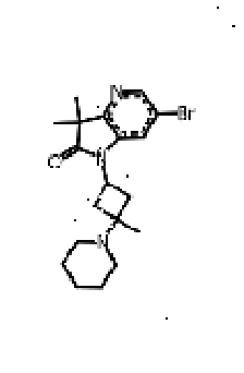 CC1(C)C(=O)N(C2CC(C)(N3CCCCC3)C2)c2cc(Br)cnc21